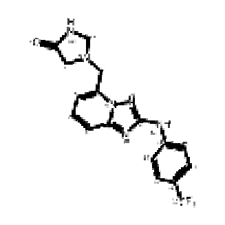 O=C1CN(Cc2cccc3nc(Nc4ccc(C(F)(F)F)cc4)nn23)CN1